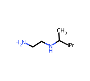 CC(C)C(C)NCCN